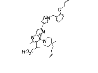 C=CCCC1(C)CCN(c2c(C(C)C(=O)O)c(C)nc3cc(-c4cnn(Cc5ccccc5OCC=C)c4)nn23)CC1